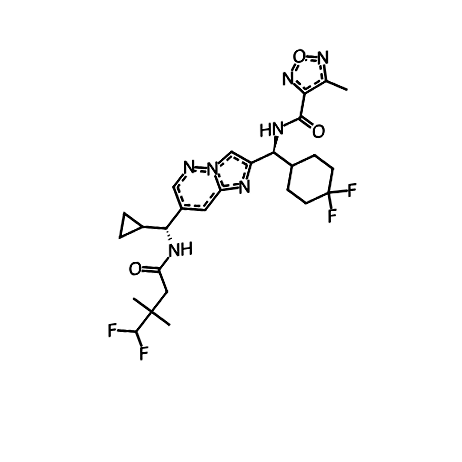 Cc1nonc1C(=O)N[C@H](c1cn2ncc([C@H](NC(=O)CC(C)(C)C(F)F)C3CC3)cc2n1)C1CCC(F)(F)CC1